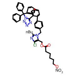 CCCCc1nc(Cl)c(COC(=O)CCCCCO[N+](=O)[O-])n1Cc1ccc(-c2ccccc2-c2nnnn2C(c2ccccc2)(c2ccccc2)c2ccccc2)cc1